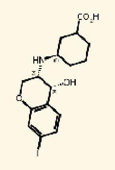 O=C(O)C1CCC[C@@H](N[C@H]2COc3cc(I)ccc3[C@H]2O)C1